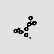 CC1(C)c2ccccc2-c2ccc(B(c3ccc(C#N)cc3)c3ccc(-c4ccc5c(c4)c4ccccc4n5-c4ccccc4)cc3)cc21